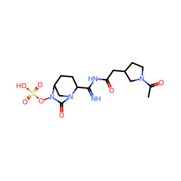 CC(=O)N1CCC(CC(=O)NC(=N)C2CCC3CN2C(=O)N3OS(=O)(=O)O)C1